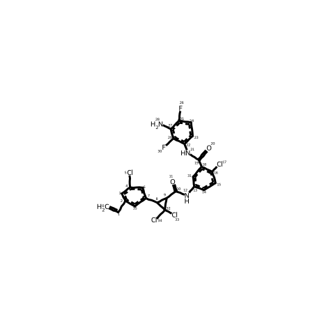 C=Cc1cc(Cl)cc(C2C(C(=O)Nc3ccc(Cl)c(C(=O)Nc4ccc(F)c(N)c4F)c3)C2(Cl)Cl)c1